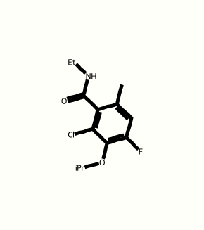 CCNC(=O)c1c(C)cc(F)c(OC(C)C)c1Cl